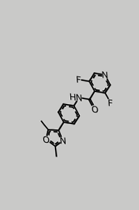 Cc1nc(-c2ccc(NC(=O)c3c(F)cncc3F)cc2)c(C)o1